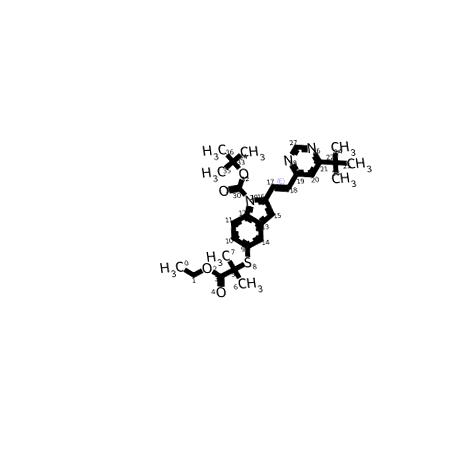 CCOC(=O)C(C)(C)Sc1ccc2c(c1)cc(/C=C/c1cc(C(C)(C)C)ncn1)n2C(=O)OC(C)(C)C